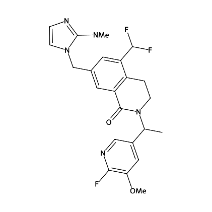 CNc1nccn1Cc1cc2c(c(C(F)F)c1)CCN(C(C)c1cnc(F)c(OC)c1)C2=O